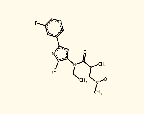 CCN(C(=O)C(C)C[S+](C)[O-])c1sc(-c2cncc(F)c2)nc1C